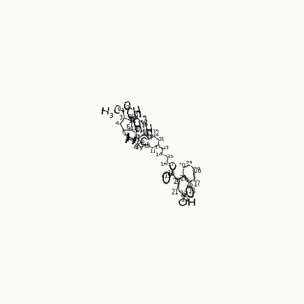 CC(=O)[C@@H]1CC[C@@H]2[C@H]3CC=C4C[C@H](CCCCOC(=O)/C(=C/C(=O)O)c5ccccc5)CC[C@@]4(C)[C@@H]3CC[C@]21C